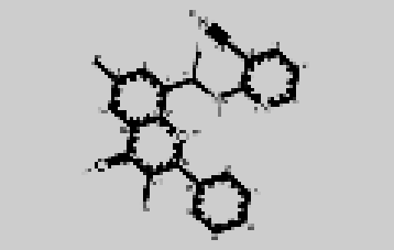 Cc1cc([C@@H](C)Nc2ncccc2C#N)c2oc(-c3ccccc3)c(C)c(=O)c2c1